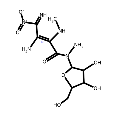 CN/C(C(=O)N(N)C1OC(CO)C(O)C1O)=C(/N)C(=N)[N+](=O)[O-]